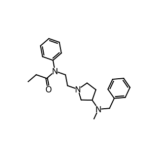 CCC(=O)N(CCN1CCC(N(C)Cc2ccccc2)C1)c1ccccc1